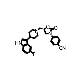 N#Cc1ccc(N2C[C@@H](CN3CCC(c4c[nH]c5ccc(F)cc45)CC3)OC2=O)cc1